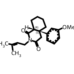 COc1cccc([C@]23CCCC[C@H]2C(=O)N(CC=C(C)C)C(=O)C3)c1